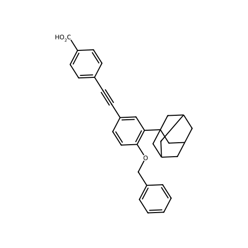 O=C(O)c1ccc(C#Cc2ccc(OCc3ccccc3)c(C34CC5CC(CC(C5)C3)C4)c2)cc1